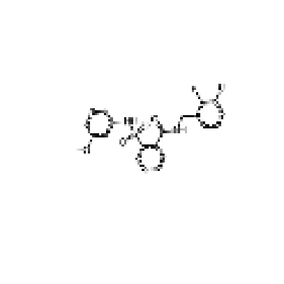 COc1cncc(NS(=O)(=O)c2ccccc2C(=O)NCc2cccc(Cl)c2F)c1